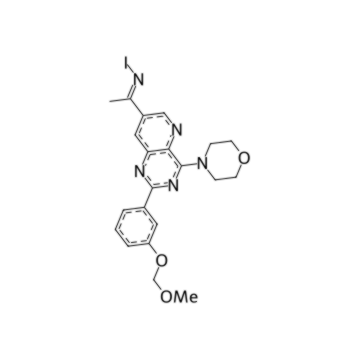 COCOc1cccc(-c2nc(N3CCOCC3)c3ncc(/C(C)=N/I)cc3n2)c1